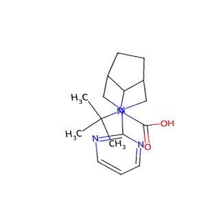 CC(C)(C)N(C(=O)O)C1C2CCC1CN(c1ncccn1)C2